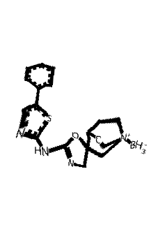 [BH3-][N+]12CCC(CC1)C1(CN=C(Nc3ncc(-c4ccccc4)s3)O1)C2